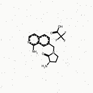 Nc1nccc2ccc(CN3CC[C@@H](N)C3=O)cc12.O=C(O)C(F)(F)F